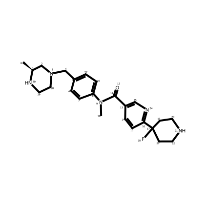 C[C@H]1CN(Cc2ccc(N(C)C(=O)c3ccc(C4(F)CCNCC4)nc3)cc2)CCN1